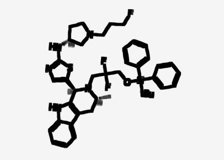 C[C@@H]1Cc2c([nH]c3ccccc23)[C@@H](c2cnc(N[C@@H]3CCN(CCCF)C3)s2)N1CC(F)(F)CO[Si](c1ccccc1)(c1ccccc1)C(C)(C)C